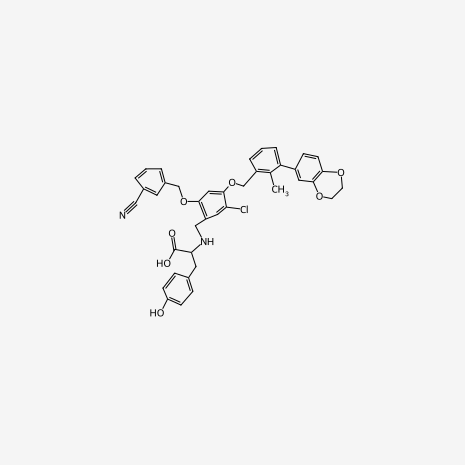 Cc1c(COc2cc(OCc3cccc(C#N)c3)c(CNC(Cc3ccc(O)cc3)C(=O)O)cc2Cl)cccc1-c1ccc2c(c1)OCCO2